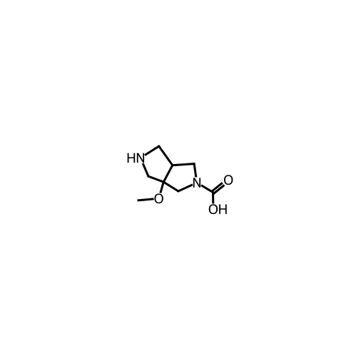 COC12CNCC1CN(C(=O)O)C2